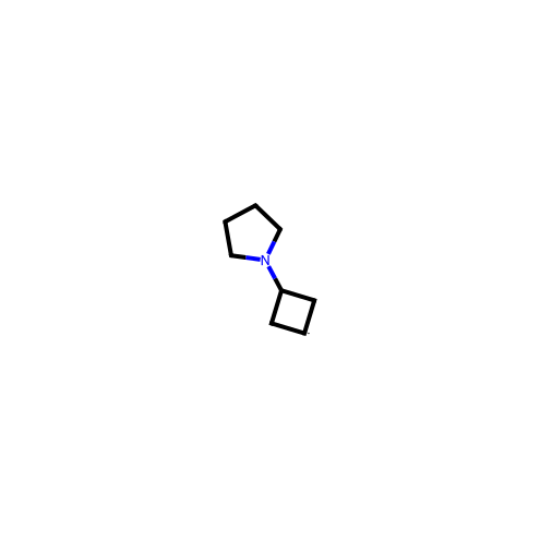 [CH]1CC(N2CCCC2)C1